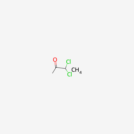 C.CC(=O)C(Cl)Cl